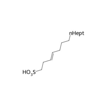 CCCCCCCCCCC=CCCS(=O)(=O)O